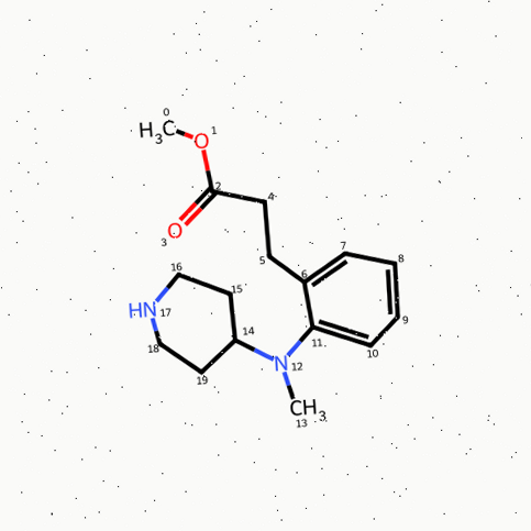 COC(=O)CCc1ccccc1N(C)C1CCNCC1